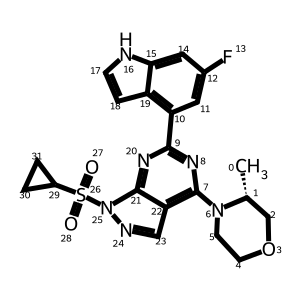 C[C@@H]1COCCN1c1nc(-c2cc(F)cc3[nH]ccc23)nc2c1cnn2S(=O)(=O)C1CC1